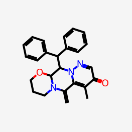 C=C1c2c(C)c(=O)cnn2C(C(c2ccccc2)c2ccccc2)C2OCCCN12